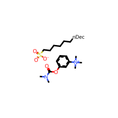 CCCCCCCCCCCCCCCCS(=O)(=O)[O-].CN(C)C(=O)Oc1cccc([N+](C)(C)C)c1